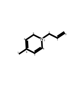 C=CCN1C=CC(C)=CC1